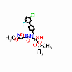 COc1cc(C(=O)NN(Cc2ccc(-c3cc(Cl)ccc3F)cc2)C[C@@H](O)C(=O)OC(C)C)on1